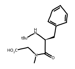 CN(CC(=O)O)C(=O)[C@H](Cc1ccccc1)NC(C)(C)C